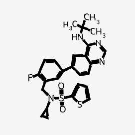 CC(C)(C)Nc1ncnc2ccc(-c3ccc(F)c(CN(C4CC4)S(=O)(=O)c4cccs4)c3)cc12